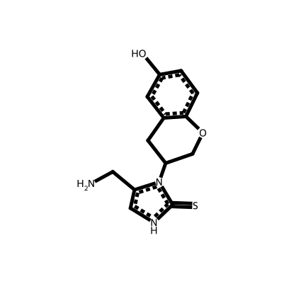 NCc1c[nH]c(=S)n1C1COc2ccc(O)cc2C1